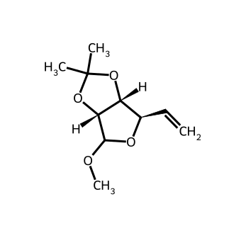 C=C[C@H]1OC(OC)[C@@H]2OC(C)(C)O[C@H]12